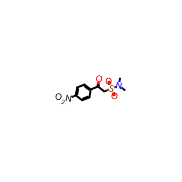 CN(C)S(=O)(=O)CC(=O)c1ccc([N+](=O)[O-])cc1